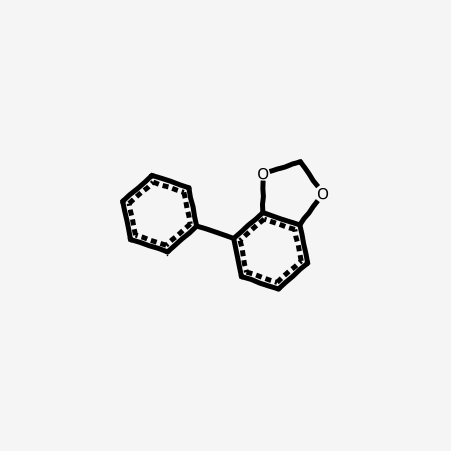 [c]1ccccc1-c1cccc2c1OCO2